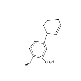 CCCc1ccc(C2C=CCCC2)cc1C(=O)O